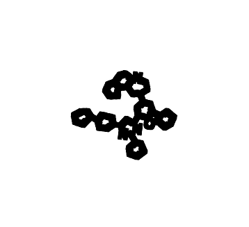 C1=Nc2ccc3ccccc3c2C=C(c2cc(-c3cc(-c4ccc(-c5ccccc5)cc4)nc(-c4ccccc4)n3)c3oc4ccccc4c3c2)C1